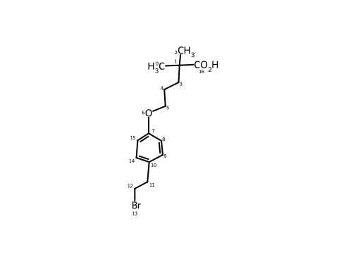 CC(C)(CCCOc1ccc(CCBr)cc1)C(=O)O